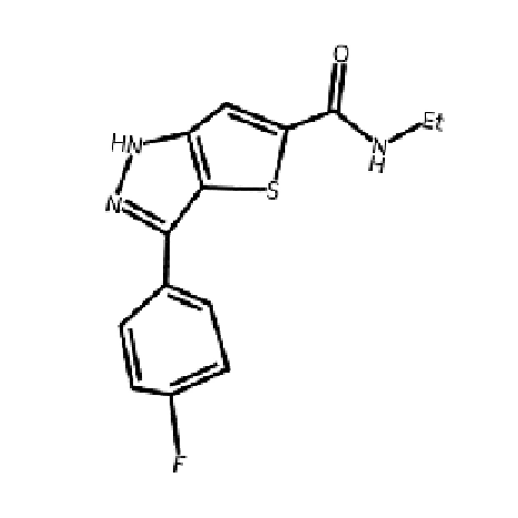 CCNC(=O)c1cc2[nH]nc(-c3ccc(F)cc3)c2s1